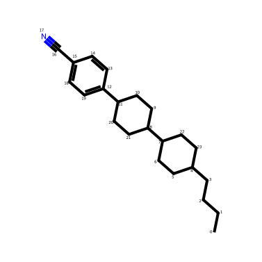 CCCCC1CCC(C2CCC(c3ccc(C#N)cc3)CC2)CC1